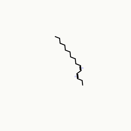 CC/C=C\C=C/CCCCCCCCC